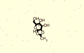 CC1OC2[C@@H](O1)OC(CO)[C@@H](O)[C@@H]2O